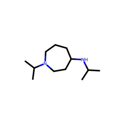 CC(C)NC1CCCN(C(C)C)CC1